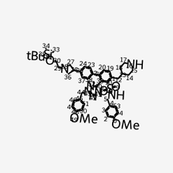 COc1ccc(CNS(=O)(=O)c2c(CC3CCNCC3)ccc(-c3ccc(C4CN(CCO[Si](C)(C)C(C)(C)C)C4)cc3)c2-c2nnn(Cc3ccc(OC)cc3)n2)cc1